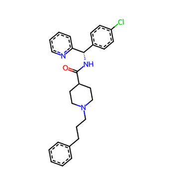 O=C(N[C@@H](c1ccc(Cl)cc1)c1ccccn1)C1CCN(CCCc2ccccc2)CC1